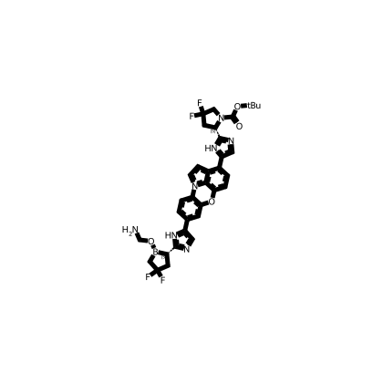 CC(C)(C)OC(=O)N1CC(F)(F)C[C@H]1c1ncc(-c2ccc3c4c2ccn4-c2ccc(-c4cnc([C@@H]5CC(F)(F)CB5OCN)[nH]4)cc2O3)[nH]1